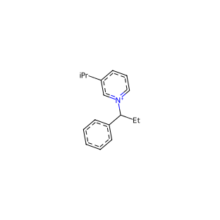 CCC(c1ccccc1)[n+]1cccc(C(C)C)c1